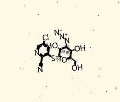 N#Cc1ncc(Cl)cc1S[C@H]1O[C@H](CO)[C@H](O)[C@H](N=[N+]=[N-])[C@H]1O